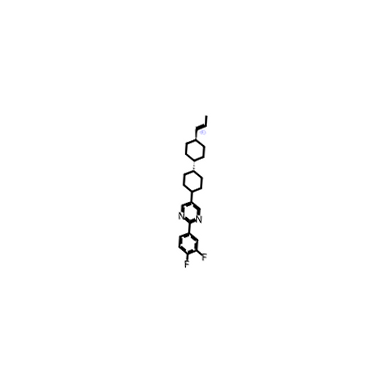 C/C=C/[C@H]1CC[C@H](C2CCC(c3cnc(-c4ccc(F)c(F)c4)nc3)CC2)CC1